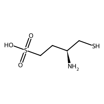 N[C@H](CS)CCS(=O)(=O)O